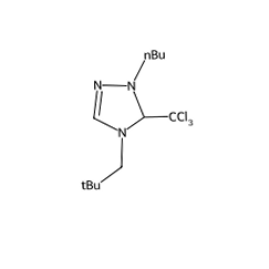 CCCCN1N=CN(CC(C)(C)C)C1C(Cl)(Cl)Cl